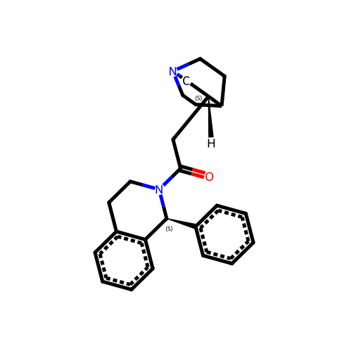 O=C(C[C@@H]1CN2CCC1CC2)N1CCc2ccccc2[C@@H]1c1ccccc1